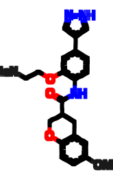 CNCCOc1cc(-c2cn[nH]c2)ccc1NC(=O)C1COc2ccc(OC)cc2C1